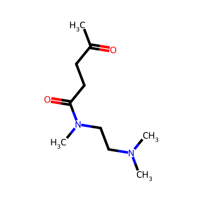 CC(=O)CCC(=O)N(C)CCN(C)C